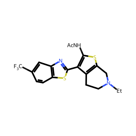 CCN1CCc2c(sc(NC(C)=O)c2-c2nc3cc(C(F)(F)F)ccc3s2)C1